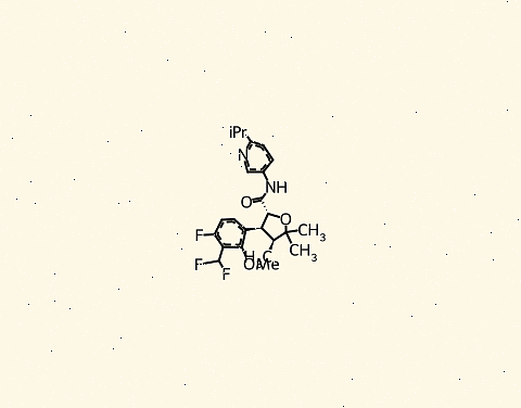 COc1c([C@H]2[C@H](C(=O)Nc3ccc(C(C)C)nc3)OC(C)(C)[C@H]2C)ccc(F)c1C(F)F